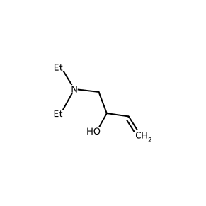 C=CC(O)CN(CC)CC